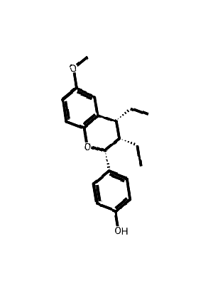 CC[C@H]1[C@@H](CC)c2cc(OC)ccc2O[C@H]1c1ccc(O)cc1